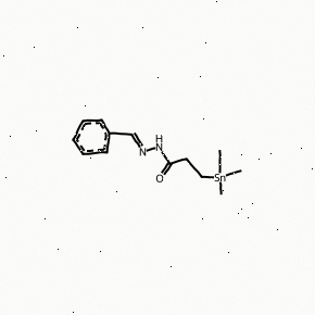 [CH3][Sn]([CH3])([CH3])[CH2]CC(=O)N/N=C/c1ccccc1